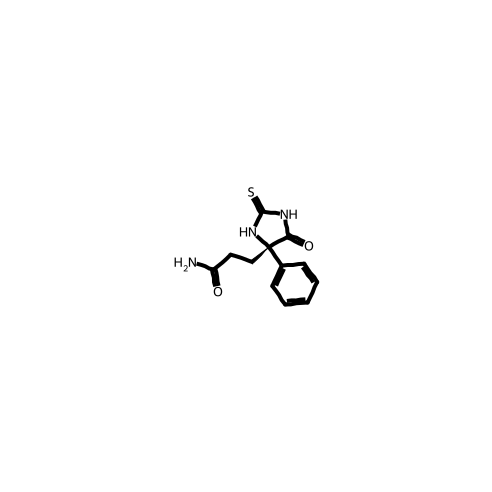 NC(=O)CC[C@@]1(c2ccccc2)NC(=S)NC1=O